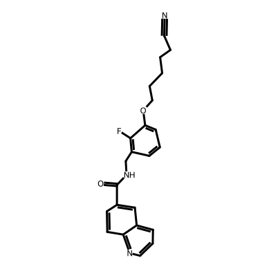 N#CCCCCCOc1cccc(CNC(=O)c2ccc3ncccc3c2)c1F